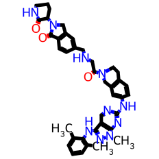 Cc1cccc(C)c1Nc1nn(C)c2nc(Nc3ccc4c(c3)CN(C(=O)CNCc3ccc5c(c3)CN(C3CCCNC3=O)C5=O)CC4)ncc12